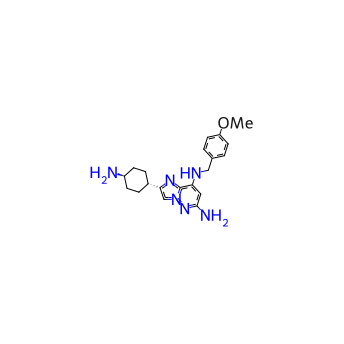 COc1ccc(CNc2cc(N)nn3cc([C@H]4CC[C@H](N)CC4)nc23)cc1